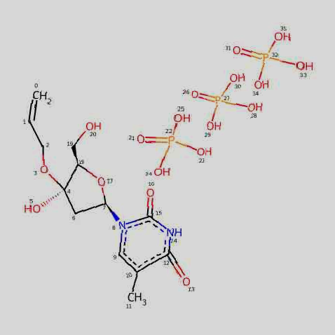 C=CCO[C@]1(O)C[C@H](n2cc(C)c(=O)[nH]c2=O)O[C@@H]1CO.O=P(O)(O)O.O=P(O)(O)O.O=P(O)(O)O